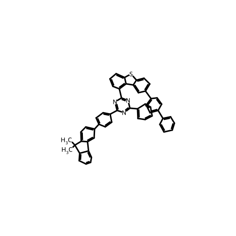 CC1(C)c2ccccc2-c2cc(-c3ccc(-c4nc(-c5ccccc5)nc(-c5cccc6sc7ccc(-c8ccc(-c9ccccc9)cc8)cc7c56)n4)cc3)ccc21